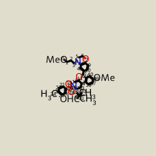 COCCCN1CCOc2ccc(CO[C@H]3CN(S(=O)(=O)c4ccc(C)cc4)[C@@H](CC(C)(C)C=O)C[C@@H]3c3ccc(OC)cc3)cc21